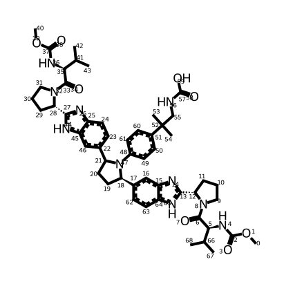 COC(=O)N[C@H](C(=O)N1CCC[C@H]1c1nc2cc([C@H]3CCC(c4ccc5nc([C@@H]6CCCN6C(=O)[C@@H](NC(=O)OC)C(C)C)[nH]c5c4)N3c3ccc(C(C)(C)CNC(=O)O)cc3)ccc2[nH]1)C(C)C